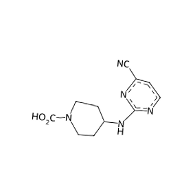 N#Cc1ccnc(NC2CCN(C(=O)O)CC2)n1